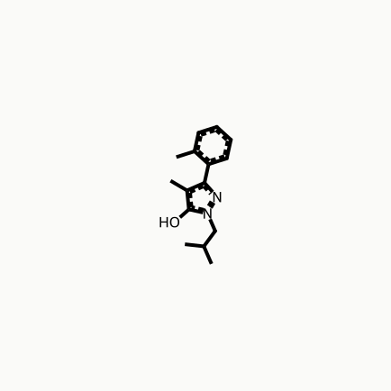 Cc1ccccc1-c1nn(CC(C)C)c(O)c1C